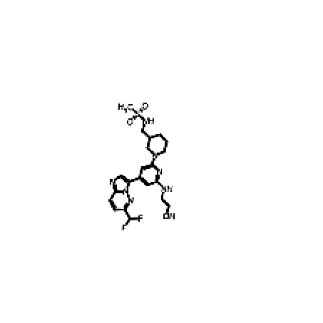 CS(=O)(=O)NCC1CCCN(c2cc(-c3cnc4ccc(C(F)F)nn34)cc(NCCO)n2)C1